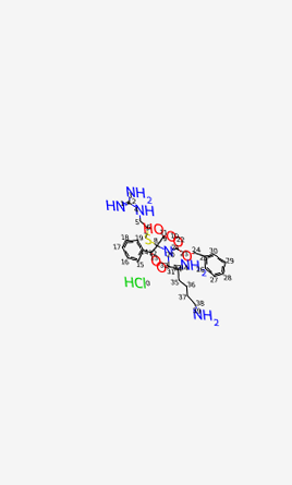 Cl.N=C(N)NCCSC(C(=O)O)(C(=O)c1ccccc1)N(C(=O)OCc1ccccc1)C(=O)[C@@H](N)CCCCN